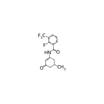 CC1CC(=O)C=C(NC(=O)c2cccc(C(F)(F)F)c2F)C1